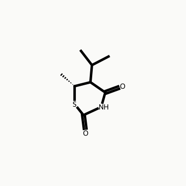 CC(C)C1C(=O)NC(=O)S[C@@H]1C